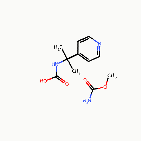 CC(C)(NC(=O)O)c1ccncc1.COC(N)=O